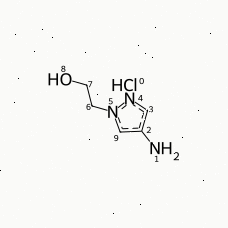 Cl.Nc1cnn(CCO)c1